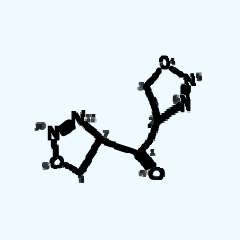 O=C(C1CON=N1)C1CON=N1